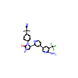 Cn1cc(-c2cc(-c3cnc(N)c(C(F)(F)F)c3)ccn2)n(-c2ccc(C(C)(C)C#N)cc2)c1=O